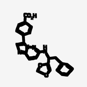 O=C(O)c1ccc(-c2cnc3ccc(NC(Cc4ccccc4)C4=COCO4)nn23)cc1